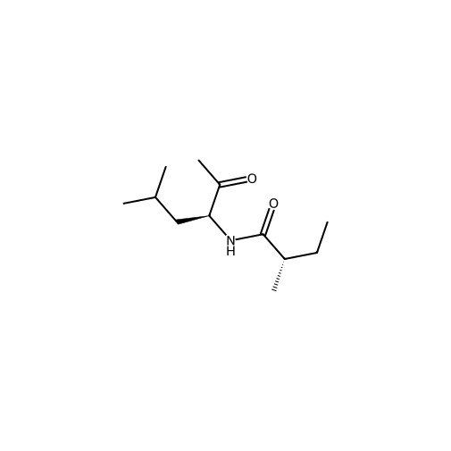 CC[C@H](C)C(=O)N[C@@H](CC(C)C)C(C)=O